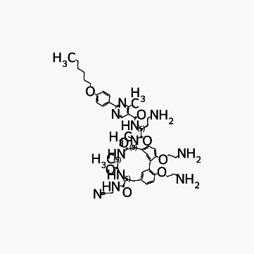 CCCCCCOc1ccc(-c2ncc(C(=O)N[C@@H](CCN)C(=O)N(C)[C@@H]3C(=O)N[C@@H](C)C(=O)N[C@H](C(=O)NCC#N)Cc4ccc(OCCN)c(c4)-c4cc3ccc4OCCN)c(C)n2)cc1